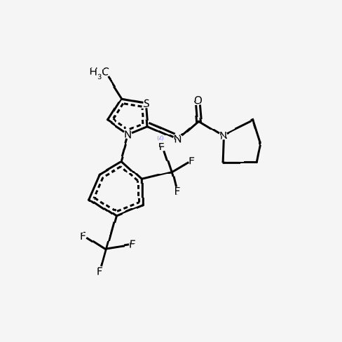 Cc1cn(-c2ccc(C(F)(F)F)cc2C(F)(F)F)/c(=N/C(=O)N2CCCC2)s1